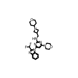 FC(F)c1nc2ccccc2n1-c1cc(N2CCOCC2)nc(NCC2CN(C3CCOCC3)C2)n1